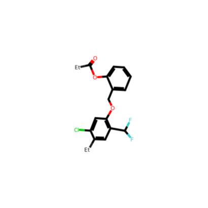 CCC(=O)Oc1ccccc1COc1cc(Cl)c(CC)cc1C(F)F